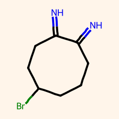 N=C1CCCC(Br)CCC1=N